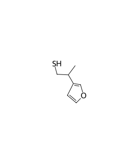 CC(CS)c1ccoc1